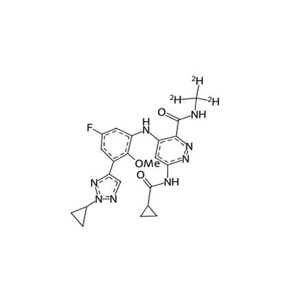 [2H]C([2H])([2H])NC(=O)c1nnc(NC(=O)C2CC2)cc1Nc1cc(F)cc(-c2cnn(C3CC3)n2)c1OC